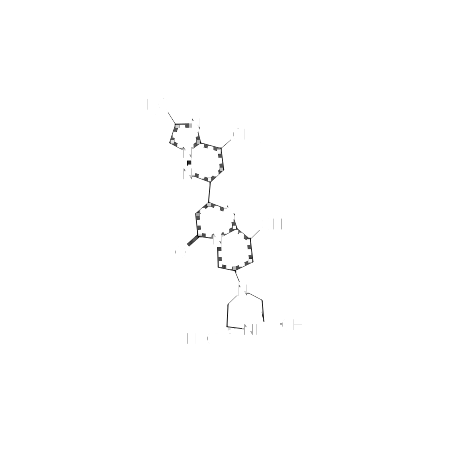 Cc1cn2nc(-c3cc(=O)n4cc(N5C[C@@H](C)N[C@@H](C)C5)cc(C)c4n3)cc(C)c2n1